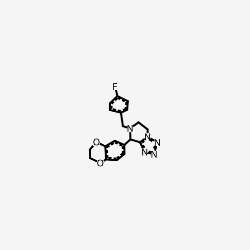 Fc1ccc(CN2CCn3nnnc3C2c2ccc3c(c2)OCCO3)cc1